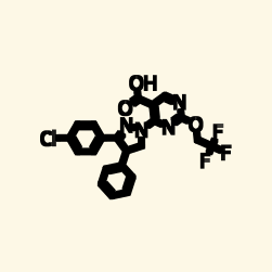 O=C(O)c1cnc(OCC(F)(F)F)nc1N1CC(c2ccccc2)C(c2ccc(Cl)cc2)=N1